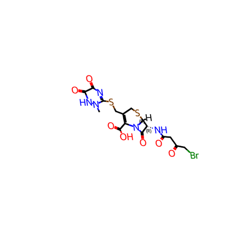 Cn1[nH]c(=O)c(=O)nc1SCC1=C(C(=O)O)N2C(=O)[C@@H](NC(=O)CC(=O)CBr)[C@H]2SC1